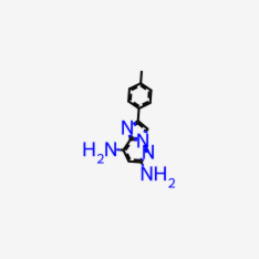 Cc1ccc(-c2cn3nc(N)cc(N)c3n2)cc1